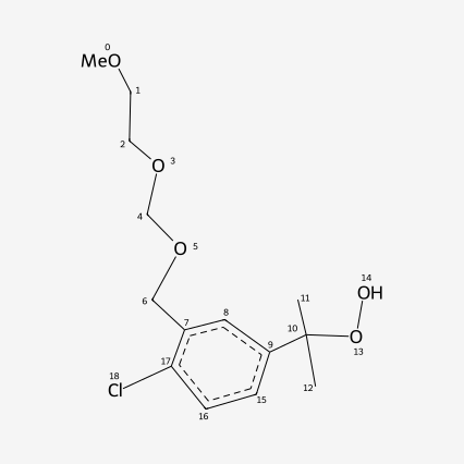 COCCOCOCc1cc(C(C)(C)OO)ccc1Cl